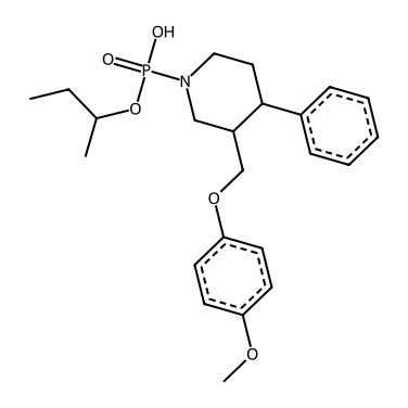 CCC(C)OP(=O)(O)N1CCC(c2ccccc2)C(COc2ccc(OC)cc2)C1